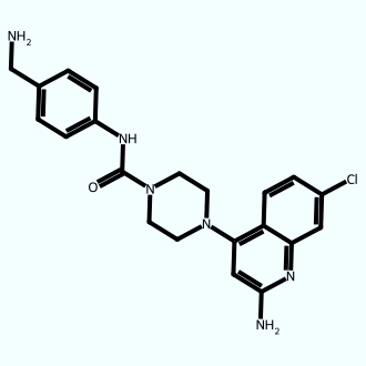 NCc1ccc(NC(=O)N2CCN(c3cc(N)nc4cc(Cl)ccc34)CC2)cc1